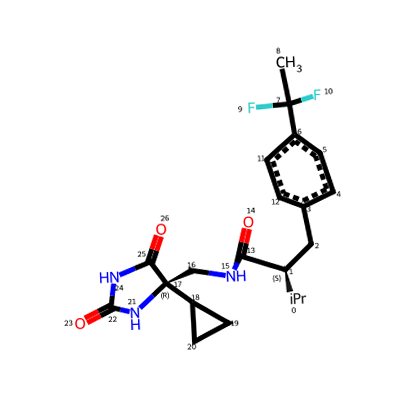 CC(C)[C@H](Cc1ccc(C(C)(F)F)cc1)C(=O)NC[C@@]1(C2CC2)NC(=O)NC1=O